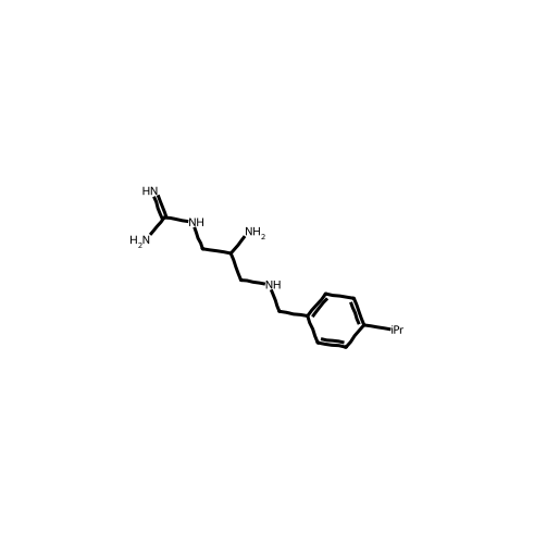 CC(C)c1ccc(CNCC(N)CNC(=N)N)cc1